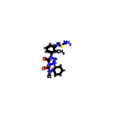 C=C1C(n2nnn(C(=O)N(CC)C3CCCCC3)c2=O)=CC=C/C1=N/SN